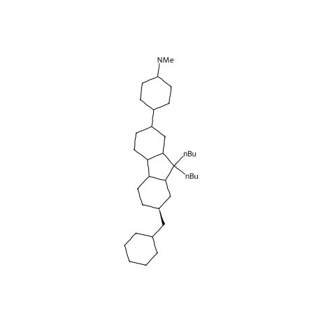 CCCCC1(CCCC)C2CC(C3CCC(NC)CC3)CCC2C2CC[C@H](CC3CCCCC3)CC21